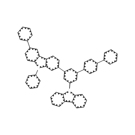 c1ccc(-c2ccc(-c3cc(-c4ccc5c6cc(-c7ccccc7)ccc6n(-c6ccccc6)c5c4)cc(-n4c5ccccc5c5ccccc54)c3)cc2)cc1